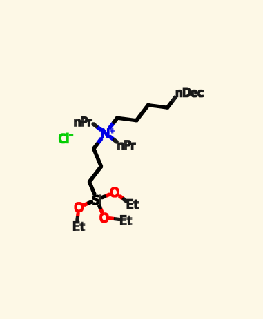 CCCCCCCCCCCCCC[N+](CCC)(CCC)CCC[Si](OCC)(OCC)OCC.[Cl-]